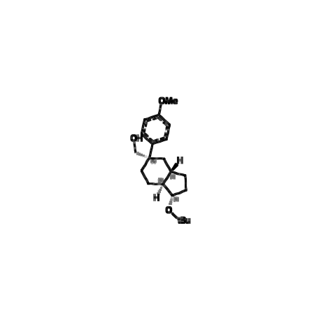 COc1ccc([C@]2(CO)CC[C@H]3[C@@H](CC[C@@H]3OC(C)(C)C)C2)cc1